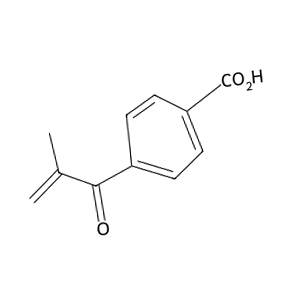 C=C(C)C(=O)c1ccc(C(=O)O)cc1